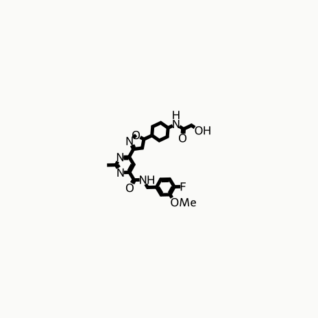 COc1cc(CNC(=O)c2cc(C3=NOC(C4CCC(NC(=O)CO)CC4)C3)nc(C)n2)ccc1F